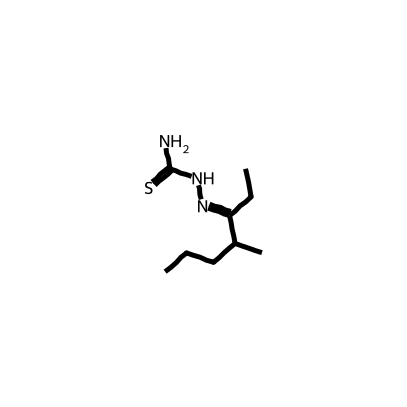 CCCC(C)C(CC)=NNC(N)=S